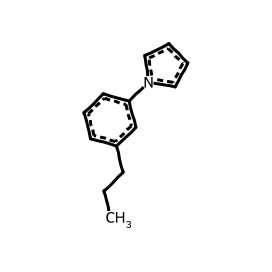 CCCc1cccc(-n2cccc2)c1